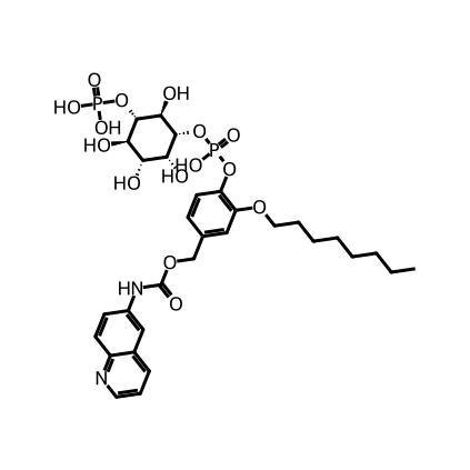 CCCCCCCCOc1cc(COC(=O)Nc2ccc3ncccc3c2)ccc1OP(=O)(O)O[C@H]1[C@H](O)[C@@H](OP(=O)(O)O)[C@H](O)[C@@H](O)[C@H]1O